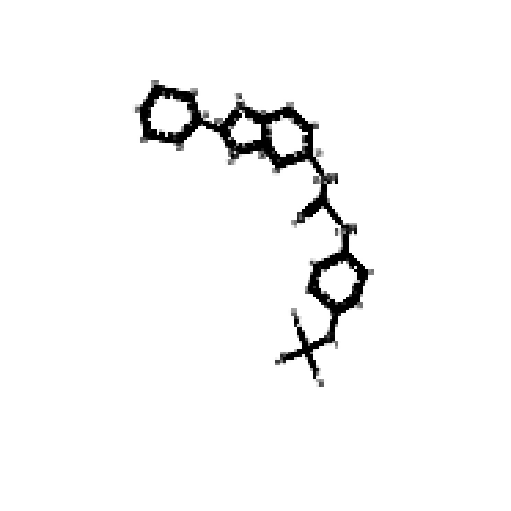 O=C(Nc1ccc(OC(F)(F)F)cc1)Nc1ccc2nc(-c3ccccc3)oc2c1